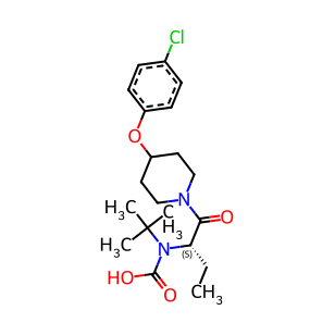 CC[C@@H](C(=O)N1CCC(Oc2ccc(Cl)cc2)CC1)N(C(=O)O)C(C)(C)C